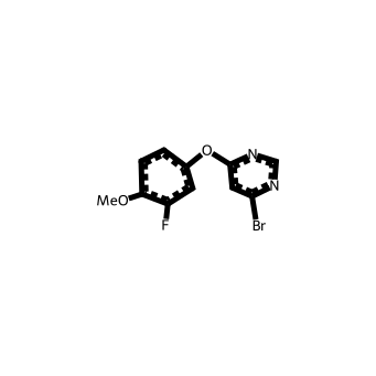 COc1ccc(Oc2cc(Br)ncn2)cc1F